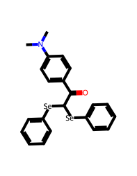 CN(C)c1ccc(C(=O)C([Se]c2ccccc2)[Se]c2ccccc2)cc1